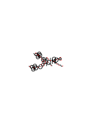 CCCCCCCCN(CCCC(C)[C@H]1CC[C@H]2C3[C@H](OCCCOS(=O)(=O)c4ccc(C)cc4)CC4C[C@H](OCCCOS(=O)(=O)c5ccc(C)cc5)CC[C@]4(C)[C@H]3C[C@H](OCCCC)[C@]12C)C(=O)OCc1ccccc1